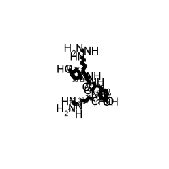 N=C(N)NCCCCC1N[C@@]1(Cc1ccc(O)cc1)C(=O)N[C@@H](Cc1ccc(O)cc1)C(=O)N[C@H]([C]=O)CCCNC(=N)N